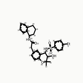 CCc1ccc(S(=O)(=O)NC2c3cc(CC(=O)NC4CCCc5ccccc54)ccc3OC(C)(C)C2O)cc1